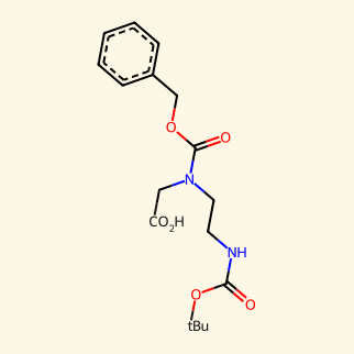 CC(C)(C)OC(=O)NCCN(CC(=O)O)C(=O)OCc1ccccc1